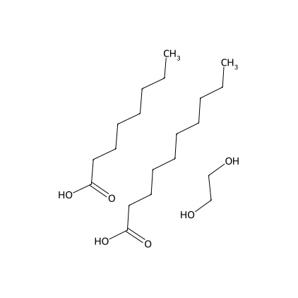 CCCCCCCC(=O)O.CCCCCCCCCC(=O)O.OCCO